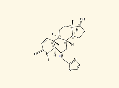 CN1C(=O)C=C[C@]2(C)[C@H]3CC[C@]4(C)[C@@H](O)CC[C@H]4[C@@H]3C/C(=C\c3nccs3)[C@@H]12